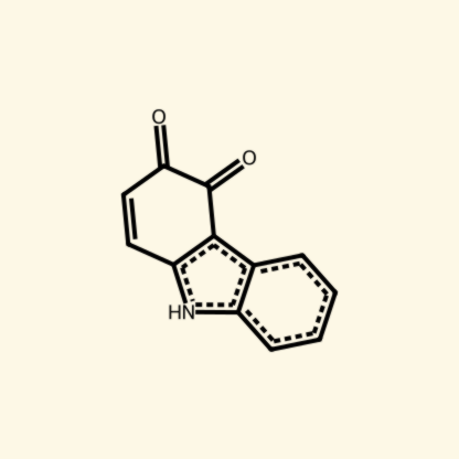 O=C1C=Cc2[nH]c3ccccc3c2C1=O